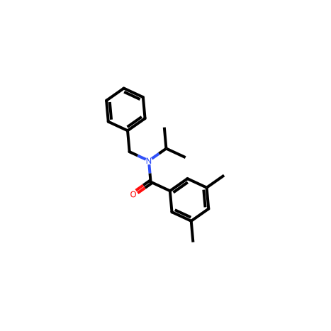 Cc1cc(C)cc(C(=O)N(Cc2ccccc2)C(C)C)c1